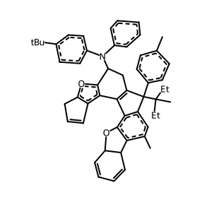 CCC(C)(CC)C1(c2ccc(C)cc2)C2=C(c3c(oc4c3C=CC4)C(N(c3ccccc3)c3ccc(C(C)(C)C)cc3)C2)c2c1cc(C)c1c2OC2C=CC=CC12